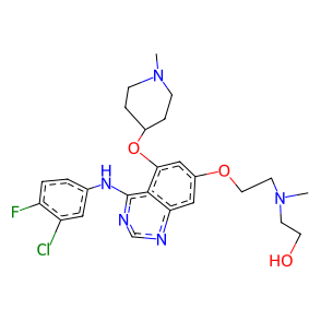 CN(CCO)CCOc1cc(OC2CCN(C)CC2)c2c(Nc3ccc(F)c(Cl)c3)ncnc2c1